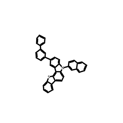 c1ccc(-c2cccc(-c3ccc4c(c3)c3c5sc6ccccc6c5ccc3n4-c3ccc4ccccc4c3)c2)cc1